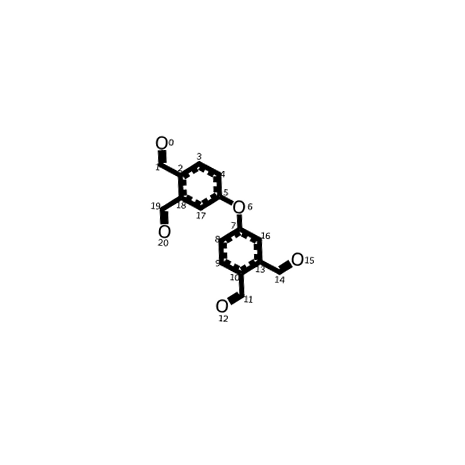 O=Cc1ccc(Oc2ccc(C=O)c(C=O)c2)cc1C=O